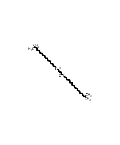 CC(C)CCCCCCCCCCCCCCCOC(=O)C=CC(=O)OCCCCCCCCCCCCCCCC(C)C